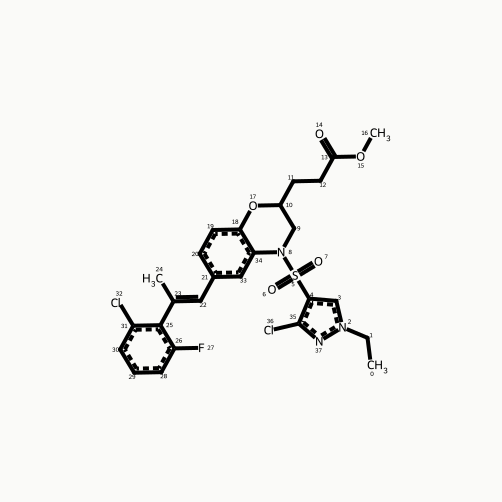 CCn1cc(S(=O)(=O)N2CC(CCC(=O)OC)Oc3ccc(C=C(C)c4c(F)cccc4Cl)cc32)c(Cl)n1